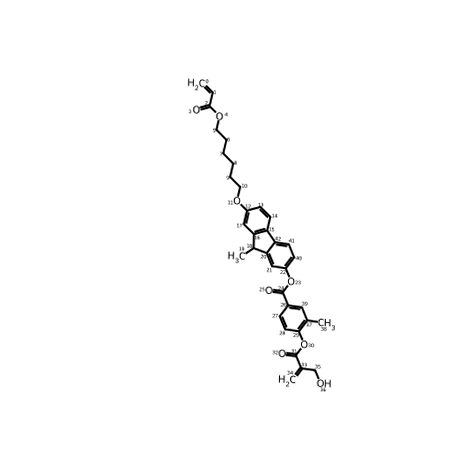 C=CC(=O)OCCCCCCOc1ccc2c(c1)C(C)c1cc(OC(=O)c3ccc(OC(=O)C(=C)CO)c(C)c3)ccc1-2